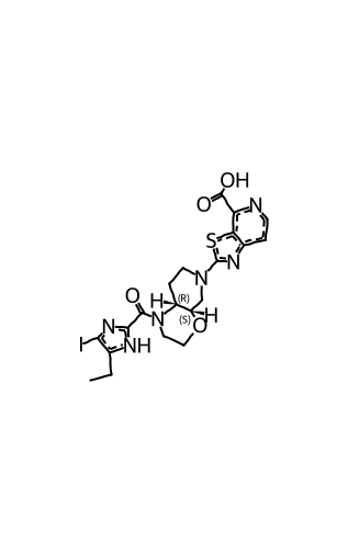 CCc1[nH]c(C(=O)N2CCO[C@H]3CN(c4nc5ccnc(C(=O)O)c5s4)CC[C@H]32)nc1I